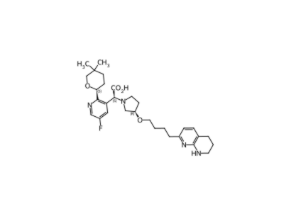 CC1(C)CC[C@@H](c2ncc(F)cc2[C@@H](C(=O)O)N2CC[C@@H](OCCCCc3ccc4c(n3)NCCC4)C2)OC1